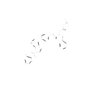 CC(C)(C)OC(=O)N[C@@H](Cc1ccccc1)C(=O)Nc1ccc(-c2ccnc3c2ccn3S(=O)(=O)c2ccccc2)cc1